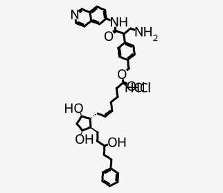 Cl.Cl.NCC(C(=O)Nc1ccc2cnccc2c1)c1ccc(COC(=O)CCC/C=C\C[C@@H]2[C@@H](CCC(O)CCc3ccccc3)[C@H](O)C[C@@H]2O)cc1